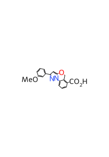 COc1cccc(-c2cc3n(n2)-c2cccc(C(=O)O)c2CO3)c1